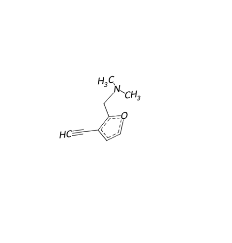 C#Cc1ccoc1CN(C)C